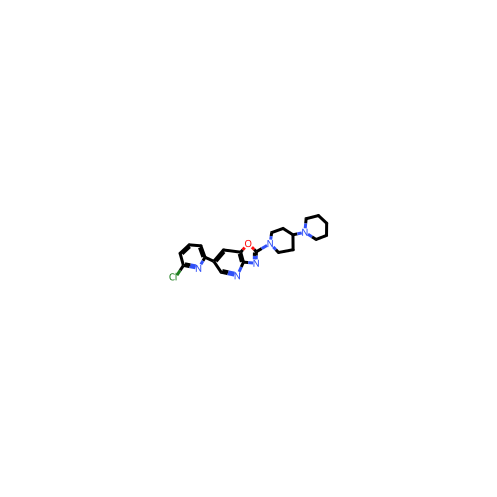 Clc1cccc(-c2cnc3nc(N4CCC(N5CCCCC5)CC4)oc3c2)n1